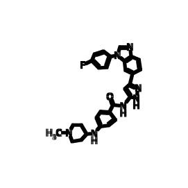 CN1CCC(Nc2ccc(C(=O)Nc3cc(-c4ccc5ncn(-c6ccc(F)cc6)c5c4)n[nH]3)cc2)CC1